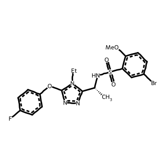 CCn1c(Oc2ccc(F)cc2)nnc1[C@@H](C)NS(=O)(=O)c1cc(Br)ccc1OC